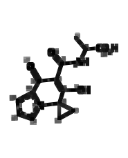 CC(NC(=O)C1=C(O)C2(CC2)n2cccc2C1=O)C(=O)O